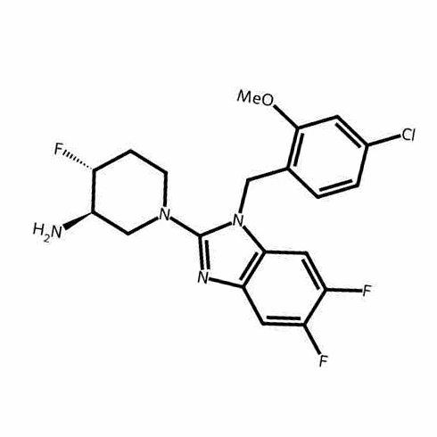 COc1cc(Cl)ccc1Cn1c(N2CC[C@@H](F)[C@H](N)C2)nc2cc(F)c(F)cc21